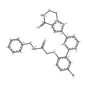 O=C(COc1ccc(Br)cc1-c1nccc(-c2cc3n(n2)CCNC3=O)n1)NCc1ccccc1